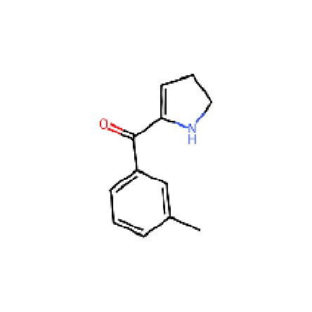 Cc1cccc(C(=O)C2=CCCN2)c1